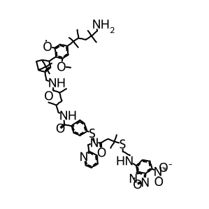 COc1cc(C(C)(C)C(C)CC(C)(C)CN)cc(OC)c1C1C=C(CNC(=O)C(C)CC(C)CNC(=O)c2ccc(SN(Cc3ccccn3)C(=O)CC(C)(C)SCCNc3ccc([N+](=O)[O-])c4nonc34)cc2)C2CC1C2(C)C